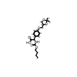 CCCCOC(=O)NC(C(=O)O)c1ccc(OCC2COC(C)(C)O2)cc1